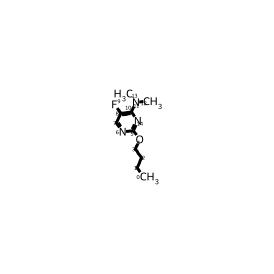 CCCCOc1ncc(F)c(N(C)C)n1